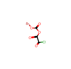 O=C(OBr)OC(=O)C(=O)Cl